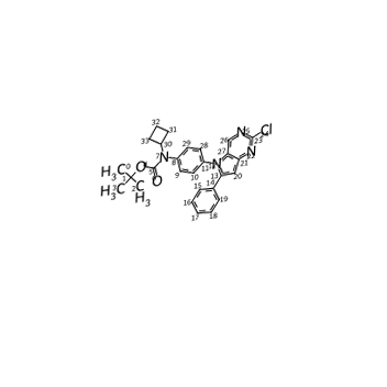 CC(C)(C)OC(=O)N(c1ccc(-n2c(-c3ccccc3)cc3nc(Cl)ncc32)cc1)C1CCC1